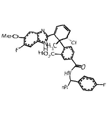 CCCC(NC(=O)c1ccc(C2(C)C(c3nc4cc(OC)c(F)cc4[nH]3)=CC=C[C@@H]2Cl)c(C(=O)O)c1)c1ccc(F)cc1